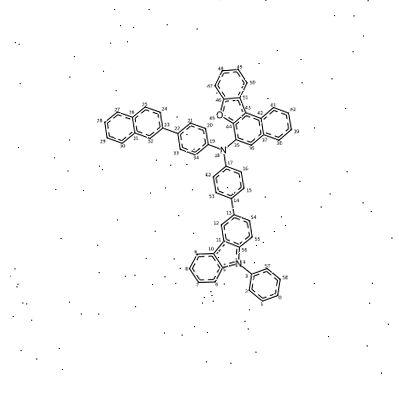 c1ccc(-n2c3ccccc3c3cc(-c4ccc(N(c5ccc(-c6ccc7ccccc7c6)cc5)c5cc6ccccc6c6c5oc5ccccc56)cc4)ccc32)cc1